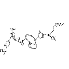 COCCCN(C)c1ccc(-c2ccc(NC(=O)Nc3cc(C(C)(C)C)nn3-c3ccc(C)nc3)c3ccccc23)cn1